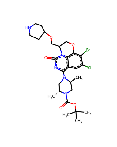 C[C@@H]1CN(c2nc(=O)n3c4c(c(Br)c(Cl)cc24)OCC3COC2CCNCC2)[C@@H](C)CN1C(=O)OC(C)(C)C